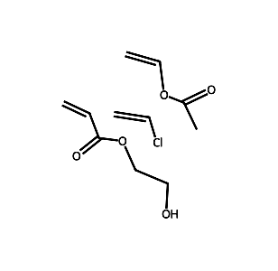 C=CC(=O)OCCO.C=CCl.C=COC(C)=O